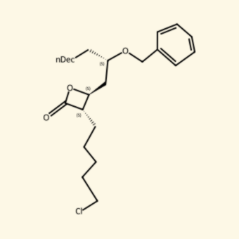 CCCCCCCCCCC[C@@H](C[C@@H]1OC(=O)[C@H]1CCCCCCl)OCc1ccccc1